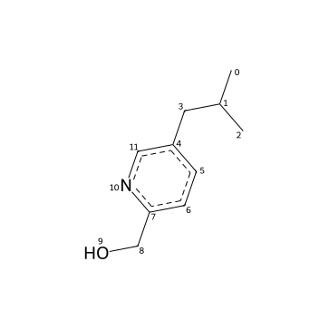 CC(C)Cc1ccc(CO)nc1